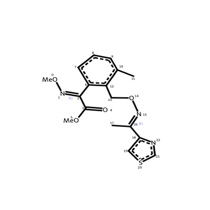 CO/N=C(/C(=O)OC)c1cccc(C)c1CO/N=C(\C)c1cscn1